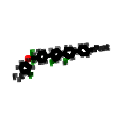 CCCCCC1CCC(c2ccc(-c3ccc(-c4ccc(C(F)(F)Oc5ccc(C(F)(F)F)c(F)c5)cc4)c(F)c3)c(F)c2)CC1